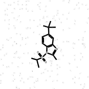 Cc1nc2cc(C(C)(C)C)ccc2n1S(=O)(=O)C(C)C